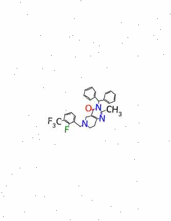 Cc1nc2c(c(=O)n1C(c1ccccc1)c1ccccc1)CN(Cc1cccc(C(F)(F)F)c1F)CC2